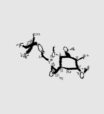 CO[C@@H]1C(=O)[C@@H](F)[C@]2(CO2)C[C@H]1[C@@]1(C)O[C@@H]1CCOC(F)(F)F